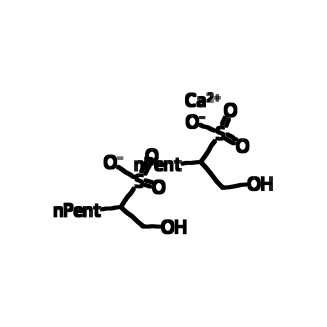 CCCCCC(CO)S(=O)(=O)[O-].CCCCCC(CO)S(=O)(=O)[O-].[Ca+2]